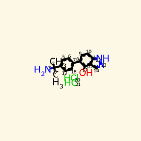 CC(C)(N)c1ccc(-c2ccc3[nH]ncc3c2O)cc1.Cl.Cl